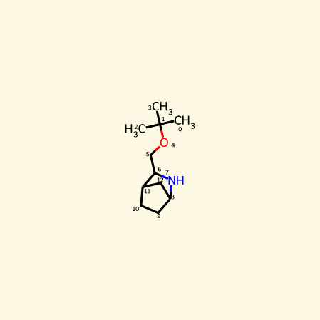 CC(C)(C)OCC1NC2CCC1C2